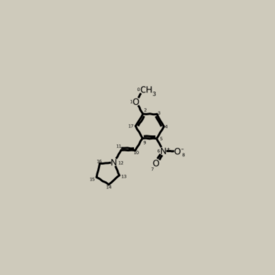 COc1ccc([N+](=O)[O-])c(C=CN2CCCC2)c1